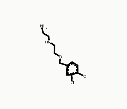 NCCNCCOCc1ccc(Cl)c(Cl)c1